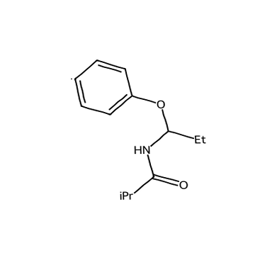 CCC(NC(=O)C(C)C)Oc1cc[c]cc1